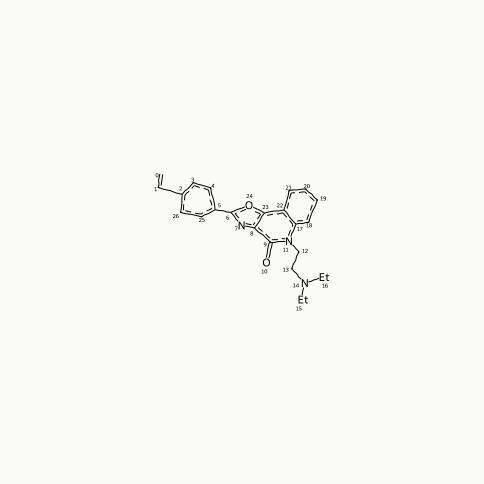 C=Cc1ccc(-c2nc3c(=O)n(CCN(CC)CC)c4ccccc4c3o2)cc1